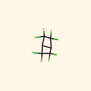 FC1(F)[C]2C(C1(F)F)C(F)(F)C2(F)F